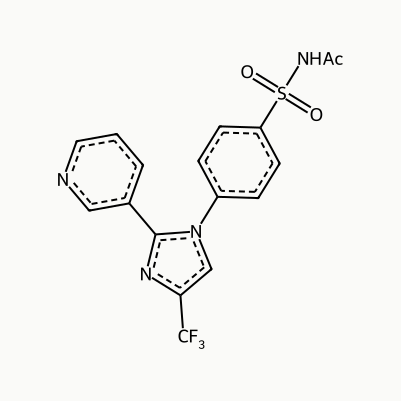 CC(=O)NS(=O)(=O)c1ccc(-n2cc(C(F)(F)F)nc2-c2cccnc2)cc1